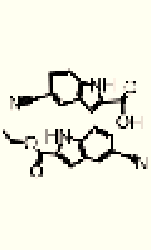 CCOC(=O)c1cc2cc(C#N)ccc2[nH]1.N#Cc1ccc2[nH]c(C(=O)O)cc2c1